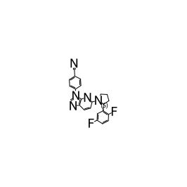 N#Cc1ccc(-n2cnc3ccc(N4CCC[C@H]4c4cc(F)ccc4F)nc32)cc1